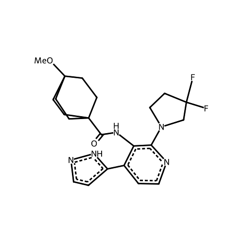 COC12CCC(C(=O)Nc3c(-c4ccn[nH]4)ccnc3N3CCC(F)(F)C3)(CC1)CC2